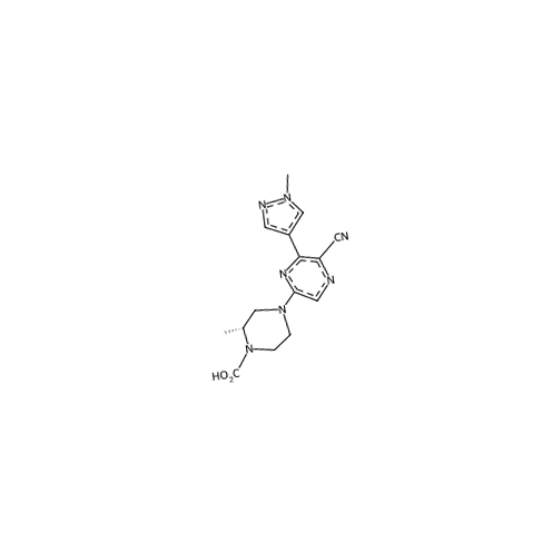 C[C@@H]1CN(c2cnc(C#N)c(-c3cnn(C)c3)n2)CCN1C(=O)O